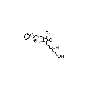 CC1=C(CCCC(Oc2ccccc2)=S=O)C(O)C(=CC=CC(O)CCCO)C1=O